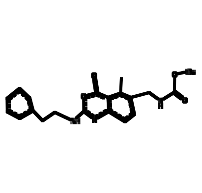 Cc1c(CNC(=O)OC(C)(C)C)ccc2nc(NCCc3ccccc3)oc(=O)c12